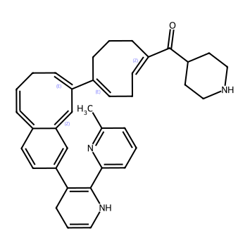 Cc1cccc(C2=C(c3ccc4\c(c3)=C/C(C3=C/C/C=C(\C(=O)C5CCNCC5)CCC\3)=C\CC=C=4)CC=CN2)n1